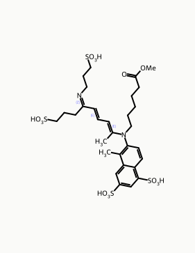 COC(=O)CCCCCN(/C(C)=C/C=C/C(CCCS(=O)(=O)O)=N\CCCS(=O)(=O)O)c1ccc2c(S(=O)(=O)O)cc(S(=O)(=O)O)cc2c1C